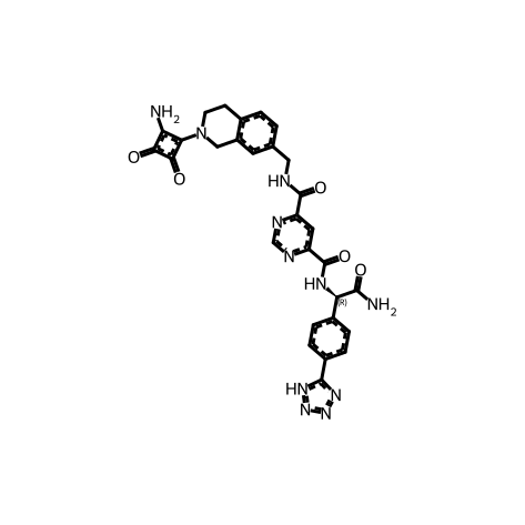 NC(=O)[C@H](NC(=O)c1cc(C(=O)NCc2ccc3c(c2)CN(c2c(N)c(=O)c2=O)CC3)ncn1)c1ccc(-c2nnn[nH]2)cc1